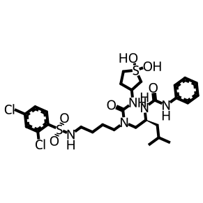 CC(C)C[C@@H](CN(CCCCNS(=O)(=O)c1ccc(Cl)cc1Cl)C(=O)NC1CCS(O)(O)C1)NC(=O)Nc1ccccc1